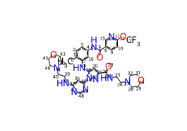 Cc1ccc(NC(=O)c2ccc(OC(F)(F)F)nc2)cc1Nc1cc(C(=O)NCCN2CCOCC2)nn1-c1cc(NCCN2CCOCC2)ncn1